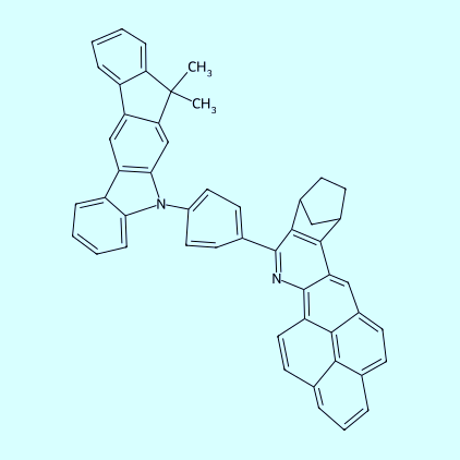 CC1(C)c2ccccc2-c2cc3c4ccccc4n(-c4ccc(-c5nc6c(cc7ccc8cccc9ccc6c7c89)c6c5C5CCC6C5)cc4)c3cc21